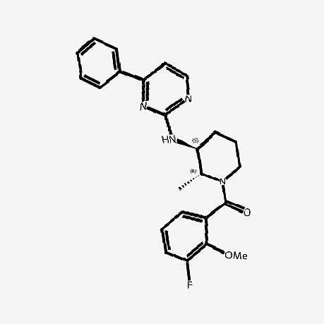 COc1c(F)cccc1C(=O)N1CCC[C@H](Nc2nccc(-c3ccccc3)n2)[C@H]1C